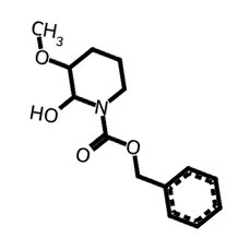 COC1CCCN(C(=O)OCc2ccccc2)C1O